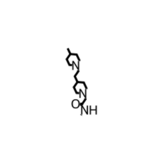 CNC(=O)CN1CCC(CCN2CCC(C)CC2)CC1